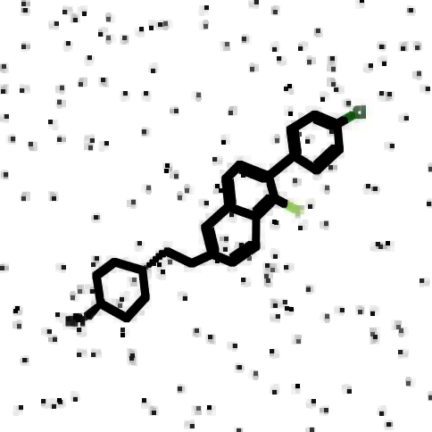 CCC[C@H]1CC[C@H](CCc2ccc3c(F)c(-c4ccc(Cl)cc4)ccc3c2)CC1